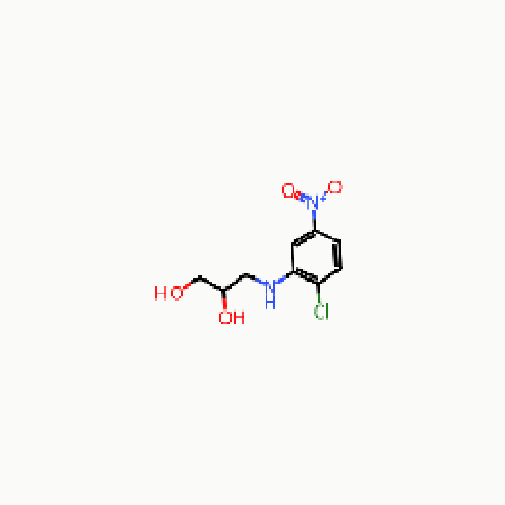 O=[N+]([O-])c1ccc(Cl)c(NCC(O)CO)c1